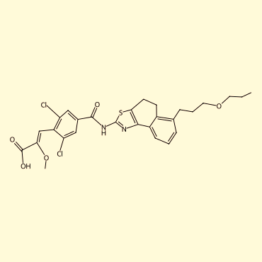 CCCOCCCc1cccc2c1CCc1sc(NC(=O)c3cc(Cl)c(/C=C(\OC)C(=O)O)c(Cl)c3)nc1-2